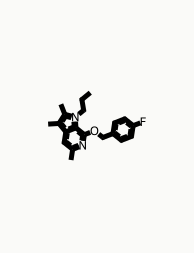 CCCn1c(C)c(C)c2cc(C)nc(OCc3ccc(F)cc3)c21